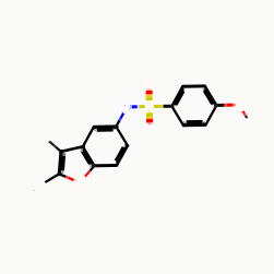 CCOC(=O)c1c(C)oc2ccc(NS(=O)(=O)c3ccc(OCC)cc3)cc12